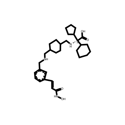 O=C(C=Cc1cccc(CNCC2CCC(CN[C@](C(=O)O)(C3CCCCC3)C3CCCC3)CC2)c1)NO